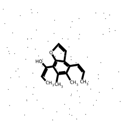 C/C=C\c1c(C)c(C)c(/C(O)=C\C)c2occc12